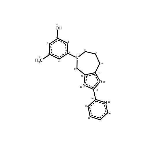 Cc1cc(O)cc(N2CCCc3oc(-c4ccccn4)nc3C2)c1